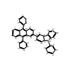 C1=CCCC(c2c3ccccc3c(-c3ccccc3)c3cc(C4=CC5c6cnccc6N(c6ccccc6)C5C=C4)ccc23)=C1